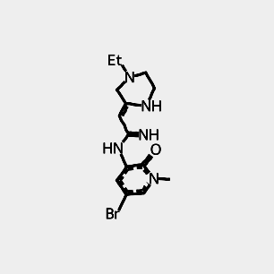 CCN1CCN/C(=C\C(=N)Nc2cc(Br)cn(C)c2=O)C1